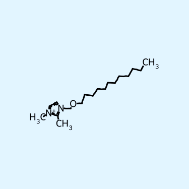 CCCCCCCCCCCCOCn1cc[n+](C)c1C